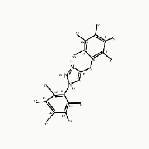 Cc1c(C)c(C)c(Cc2cn(-c3c(C)c(C)c(C)c(C)c3C)nn2)c(C)c1C